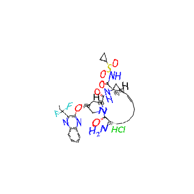 CC(F)(F)c1nc2ccccc2nc1O[C@@H]1C[C@H]2C(=O)N[C@]3(C(=O)NS(=O)(=O)C4CC4)C[C@H]3C=CCCCCC[C@H](N)C(=O)N2C1.Cl